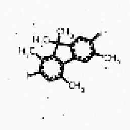 Cc1cc2c(cc1I)C(C)(C)c1c(C)c(I)cc(C)c1-2